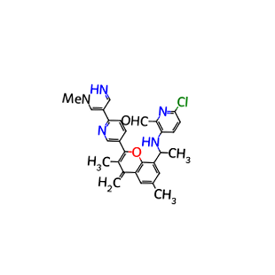 C=C1C(C)=C(c2ccc(/C(C=N)=C/NC)nc2)Oc2c1cc(C)cc2C(C)Nc1ccc(Cl)nc1C=O